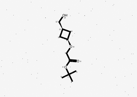 CC(C)(C)OC(=O)CO[C@H]1C[C@@H](CO)C1